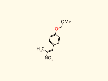 COCOc1ccc(/C=C(\C)[N+](=O)[O-])cc1